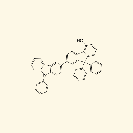 Oc1cccc2c1-c1ccc(-c3ccc4c(c3)c3ccccc3n4-c3ccccc3)cc1C2(c1ccccc1)c1ccccc1